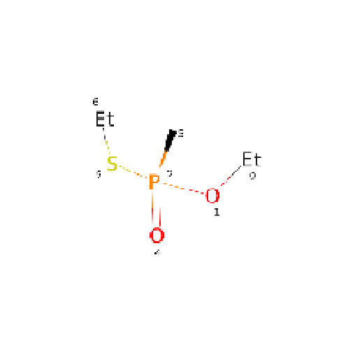 CCO[P@](C)(=O)SCC